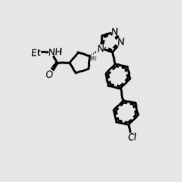 CCNC(=O)C1CC[C@@H](n2cnnc2-c2ccc(-c3ccc(Cl)cc3)cc2)C1